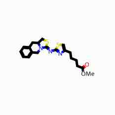 COC(=O)CCCCc1csc(N=C2SCC3Cc4ccccc4CN23)n1